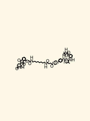 Cc1cnc(Nc2ccc(N3CCN(C(=O)CCC(=O)NCCCCCCCCNC(=O)COc4cccc5c4C(=O)N(C4CCC(=O)NC4=O)C5=O)CC3)cc2)nc1Nc1cccc(S(=O)(=O)NC(C)(C)C)c1